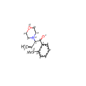 C=CC(C(=O)c1ccccc1SC)N1CCOCC1